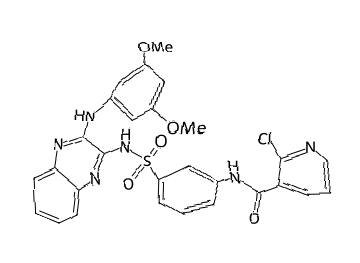 COc1cc(Nc2nc3ccccc3nc2NS(=O)(=O)c2cccc(NC(=O)c3cccnc3Cl)c2)cc(OC)c1